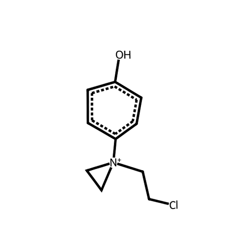 Oc1ccc([N+]2(CCCl)CC2)cc1